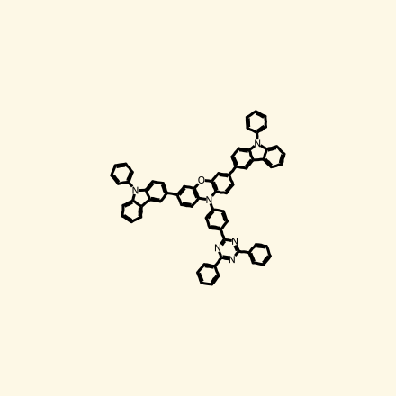 c1ccc(-c2nc(-c3ccccc3)nc(-c3ccc(N4c5ccc(-c6ccc7c(c6)c6ccccc6n7-c6ccccc6)cc5Oc5cc(-c6ccc7c(c6)c6ccccc6n7-c6ccccc6)ccc54)cc3)n2)cc1